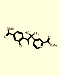 COC(=O)c1ccc(C(C)C(O)(c2ccnc(C(=O)OC)c2)C(F)(F)F)c(Cl)c1